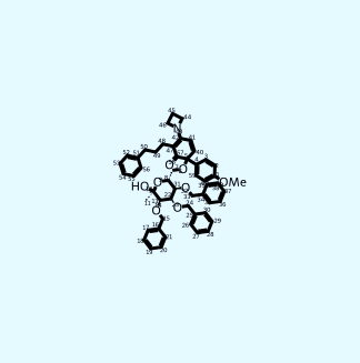 COc1ccc(C2(OC[C@H]3O[C@](C)(O)[C@H](OCc4ccccc4)[C@@H](OCc4ccccc4)[C@@H]3OCc3ccccc3)C=CC(N3CCC3)=C(CCCc3ccccc3)C2=O)cc1